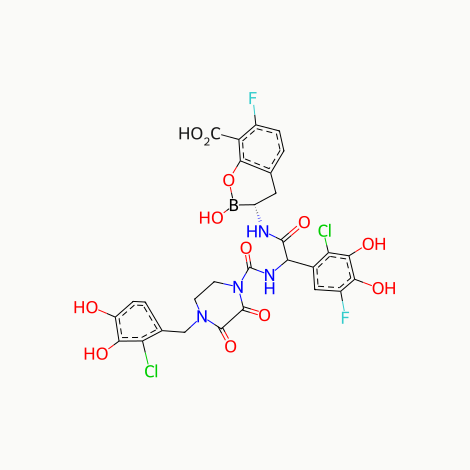 O=C(O)c1c(F)ccc2c1OB(O)[C@@H](NC(=O)C(NC(=O)N1CCN(Cc3ccc(O)c(O)c3Cl)C(=O)C1=O)c1cc(F)c(O)c(O)c1Cl)C2